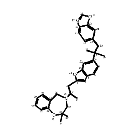 CC(Cc1cc2ccc(C(C)(C)Cc3ccc4ncoc4c3)cc2o1)N1Cc2ccccc2OC(C)(C)C1